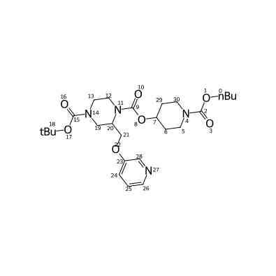 CCCCOC(=O)N1CCC(OC(=O)N2CCN(C(=O)OC(C)(C)C)CC2COc2cccnc2)CC1